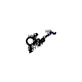 C\C=C/C=C(O)\C=N\CCCOc1ccc2nc(C(F)(F)F)c3c(c2c1)CC[C@]1(C[C@H]2C(=O)N[C@@](C)(C(=O)NS(=O)(=O)C4(C)CC4)[C@@H](C)/C=C\CCCCC[C@H](NC(=O)OC(C)(C)C)C(=O)N2C1)O3